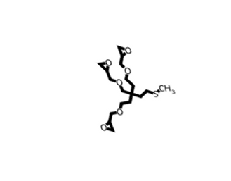 CSCCC(CCOCC1CO1)(CCOCC1CO1)COCC1CO1